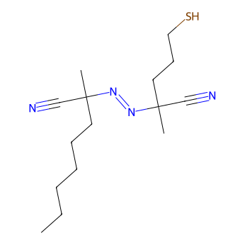 CCCCCCC(C)(C#N)/N=N/C(C)(C#N)CCCS